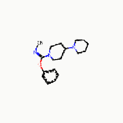 N#CN=C(Oc1ccccc1)N1CCC(N2CCCCC2)CC1